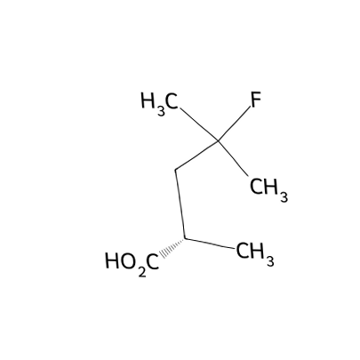 C[C@@H](CC(C)(C)F)C(=O)O